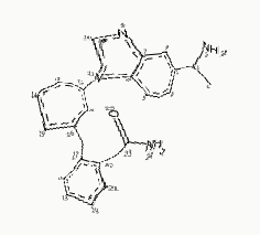 CC(N)c1ccc2c(c1)ncn2-c1cccc(-c2ccccc2C(N)=O)c1